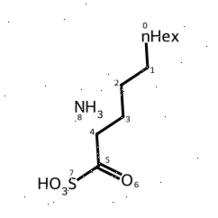 CCCCCCCCCCC(=O)S(=O)(=O)O.N